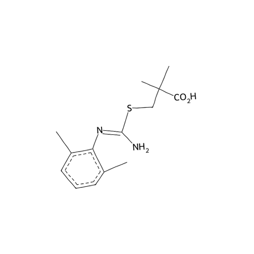 Cc1cccc(C)c1/N=C(\N)SCC(C)(C)C(=O)O